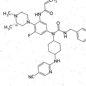 C=CC(=O)Nc1cc(N(C(=O)NCc2ccccc2)C2CCC(Nc3ccc(C#N)cn3)CC2)cc(F)c1N1CCN(C)[C@@H](C)C1